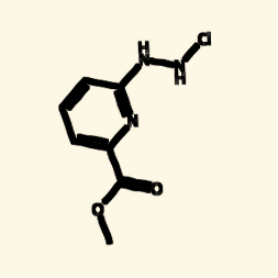 COC(=O)c1cccc(NNCl)n1